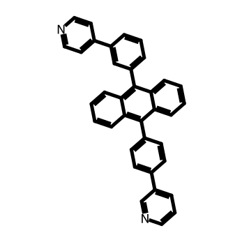 c1cncc(-c2ccc(-c3c4ccccc4c(-c4cccc(-c5ccncc5)c4)c4ccccc34)cc2)c1